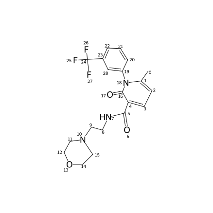 Cc1ccc(C(=O)NCCN2CCOCC2)c(=O)n1-c1cccc(C(F)(F)F)c1